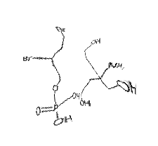 NC(CO)(CO)CO.O=P(O)(O)OCC(Br)CBr